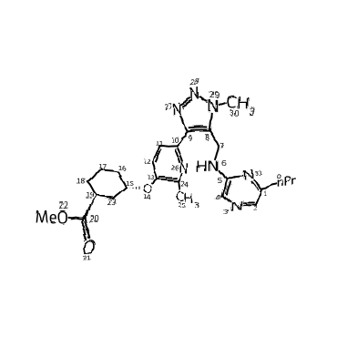 CCCc1cncc(NCc2c(-c3ccc(O[C@H]4CCC[C@H](C(=O)OC)C4)c(C)n3)nnn2C)n1